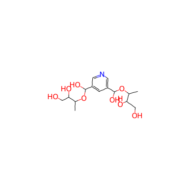 CC(OC(O)c1cncc(C(O)OC(C)C(O)CO)c1)C(O)CO